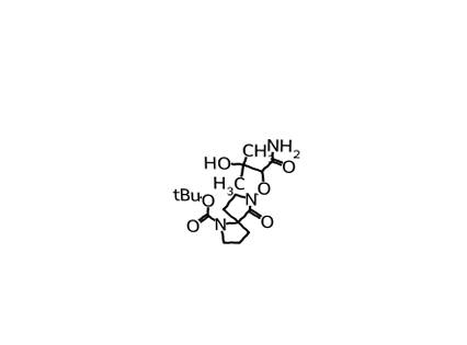 CC(C)(C)OC(=O)N1CCCC12CCN(OC(C(N)=O)C(C)(C)O)C2=O